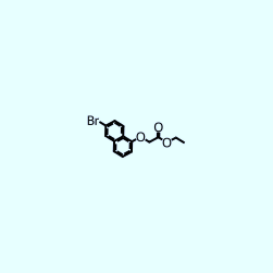 CCOC(=O)COc1cccc2cc(Br)ccc12